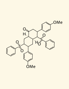 COc1ccc(C2C[C@@H]3C(S(=O)(=O)c4ccccc4)C(c4ccc(OC)cc4)CC(=O)[C@@H]3CC2S(=O)(=O)c2ccccc2)cc1